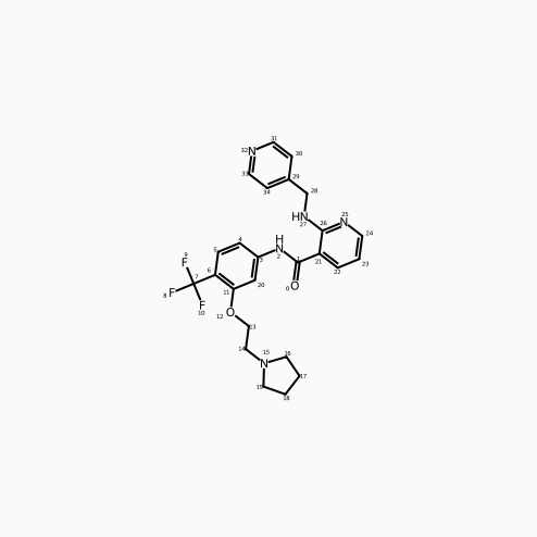 O=C(Nc1ccc(C(F)(F)F)c(OCCN2CCCC2)c1)c1cccnc1NCc1ccncc1